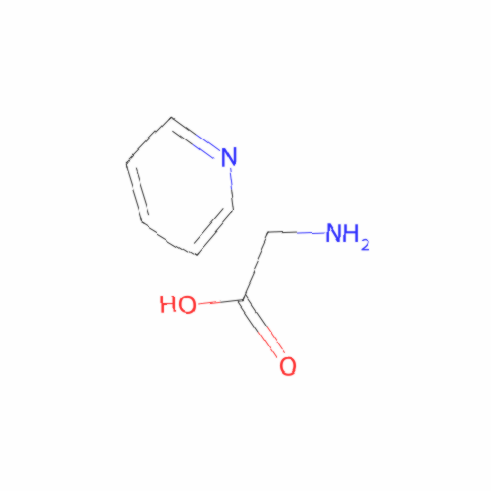 NCC(=O)O.c1ccncc1